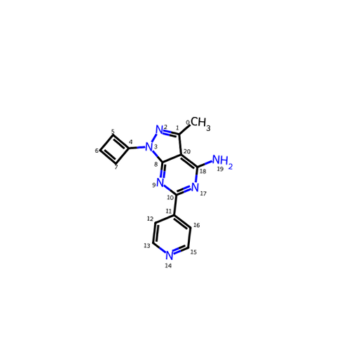 Cc1nn(C2=CC=C2)c2nc(-c3ccncc3)nc(N)c12